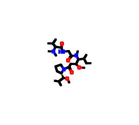 CCC(C)C(C(CC(=O)N1CCC[C@H]1C(OC)C(C)C)OC)N(C)C(=O)CNC(=O)C(C(C)C)N(C)C